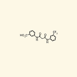 O=C(CC(=O)Nc1cccc(C(F)(F)F)c1)Nc1cccc(C(=O)O)c1